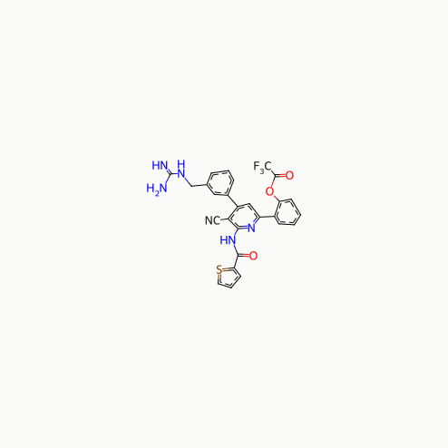 N#Cc1c(-c2cccc(CNC(=N)N)c2)cc(-c2ccccc2OC(=O)C(F)(F)F)nc1NC(=O)c1cccs1